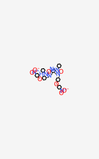 O=C(Nc1ccccc1)N(Cc1ccc(Oc2ccc([N+](=O)[O-])cc2)cc1)Cc1ccncc1CN(Cc1ccc(Oc2ccc([N+](=O)[O-])cc2)cc1)C(=O)Nc1ccccc1